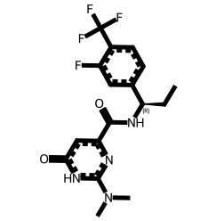 CC[C@@H](NC(=O)c1cc(=O)[nH]c(N(C)C)n1)c1ccc(C(F)(F)F)c(F)c1